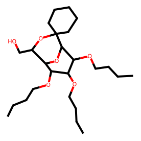 CCCCOC1C2OC(C(OCCCC)C1OCCCC)C1(CCCCC1)OC2CO